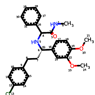 CNC(=O)C(N[C@@H](CCc1ccc(Cl)cc1)c1ccc(OC)c(OC)c1)c1ccccc1